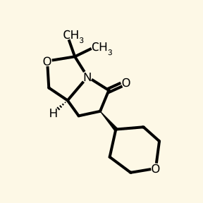 CC1(C)OC[C@@H]2C[C@H](C3CCOCC3)C(=O)N21